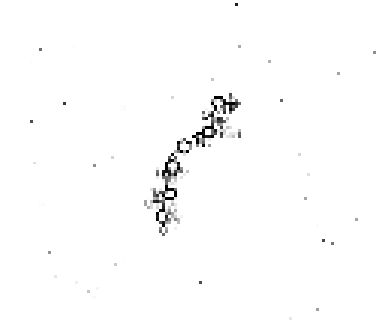 Cn1c(=O)n(C2CCC(=O)NC2=O)c2cccc(CC3C[C@@H]4CN(C[C@H]5CC[C@H](n6cc7cc(NC(=O)c8cccc(C(F)(F)F)n8)c(C(C)(C)O)cc7n6)CC5)C[C@H]3N4)c21